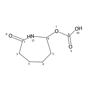 O=C1CCCCC(OC(=O)O)N1